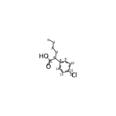 CCCCC(C(=O)O)c1ccc(Cl)cc1